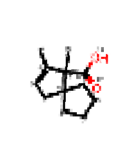 CC1=CCC2(CCCC2)C1(C)C(=O)O